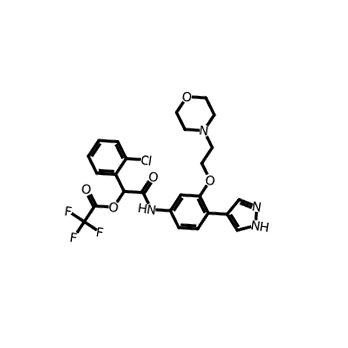 O=C(Nc1ccc(-c2cn[nH]c2)c(OCCN2CCOCC2)c1)C(OC(=O)C(F)(F)F)c1ccccc1Cl